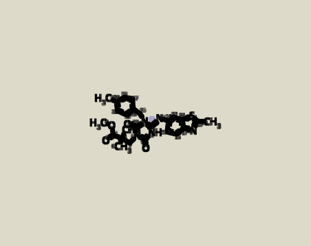 COC(=O)C(C)(C)Cn1c(=O)[nH]/c(=N\c2ccc3nc(C)sc3c2)n(Cc2ccc(C)cc2)c1=O